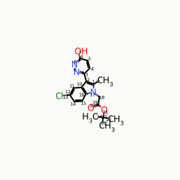 Cc1c(-c2ccc(O)nn2)c2cc(Cl)ccc2n1CC(=O)OC(C)(C)C